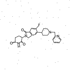 O=C1CCC(N2Cc3cc(C4CCN(Cc5ccccn5)CC4)c(F)cc3C2=O)C(=O)N1